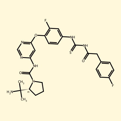 CC(C)(N)[C@H]1CCCN1C(=O)Nc1cc(Oc2ccc(NC(=S)NC(=O)Cc3ccc(F)cc3)cc2F)ncn1